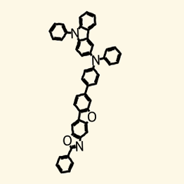 c1ccc(-c2nc3cc4oc5cc(-c6ccc(N(c7ccccc7)c7ccc8c(c7)c7ccccc7n8-c7ccccc7)cc6)ccc5c4cc3o2)cc1